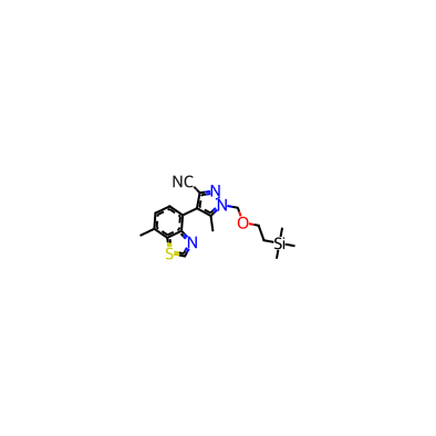 Cc1ccc(-c2c(C#N)nn(COCC[Si](C)(C)C)c2C)c2ncsc12